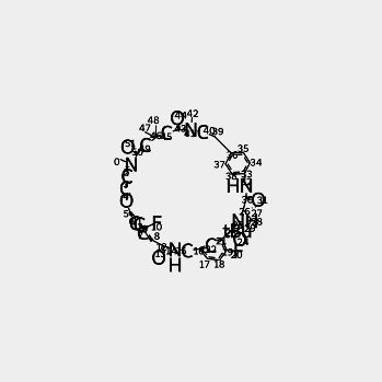 CN1CCOc2ccc(c(F)c2)C(=O)NCc2ccc(F)c(c2)C(=O)N[C@](C)(CC(C)(C)C)C(=O)Nc2ccc(cc2)CCN(C)C(=O)CC(C)(C)CC1=O